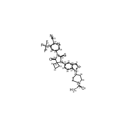 CC(=O)N1CCC(n2ncc3cc(N4C(=S)N(c5cnc(C#N)c(C(F)(F)F)c5)C(=O)C45CCC5)ccc32)CC1